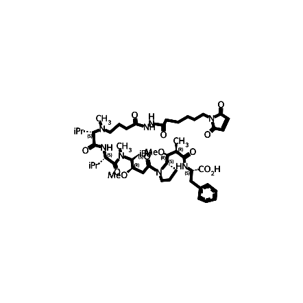 CC[C@H](C)C([C@@H](CC(=O)N1CCC[C@H]1[C@H](OC)[C@@H](C)C(=O)N[C@@H](Cc1ccccc1)C(=O)O)OC)N(C)C(=O)[C@@H](NC(=O)[C@H](C(C)C)N(C)CCCC(=O)NNC(=O)CCCCCN1C(=O)C=CC1=O)C(C)C